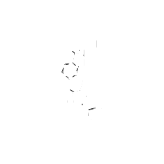 O=C(O)CCC(Cc1cccc(C(=O)NO)c1)C(=O)O